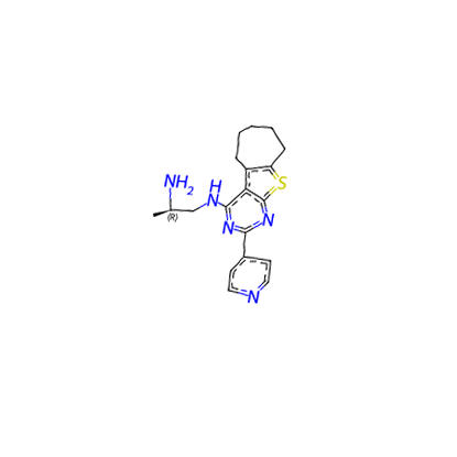 C[C@@H](N)CNc1nc(-c2ccncc2)nc2sc3c(c12)CCCCC3